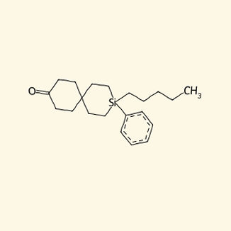 CCCCC[Si]1(c2ccccc2)CCC2(CCC(=O)CC2)CC1